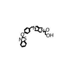 O=C(CO)N1CC2=CN(Cc3ccc(Oc4nc5ccccc5s4)cc3)CC2C1